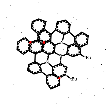 CC(C)(C)c1ccc2c(c1)B1c3cc(C(C)(C)C)ccc3N(c3c(-c4ccccc4)cccc3-c3ccccc3)c3cc(N(c4ccccc4)c4ccccc4)cc(c31)N2c1c(-c2ccccc2)cccc1-c1ccccc1